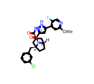 COc1cc(-c2cc(C(=O)N3[C@H]4CC[C@]3(Cc3cccc(Cl)c3)C[C@@H](C(N)=O)C4)n[nH]2)c(F)cn1